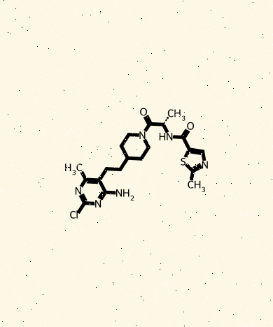 Cc1ncc(C(=O)N[C@@H](C)C(=O)N2CCC(CCc3c(C)nc(Cl)nc3N)CC2)s1